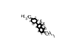 CC1=CCC(c2cc3ccc(C)c(F)c3c(F)c2F)CC1